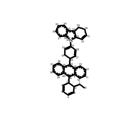 CCC1C=CC=CC1c1c2ccccc2c(C2C=CC(n3c4c(c5ccccc53)CCC=C4)=CC2)c2ccccc12